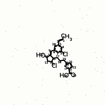 C/C=C/c1cc(Cl)cc(/C=C2/C(O)C[C@@H](Cl)C2CCCc2ccc(C(=O)O)s2)c1